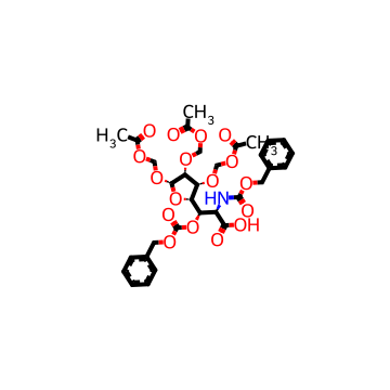 CC(=O)OCO[C@H]1O[C@@H]([C@H](OC(=O)OCc2ccccc2)[C@@H](NC(=O)OCc2ccccc2)C(=O)O)[C@@H](OCOC(C)=O)[C@H]1OCOC(C)=O